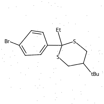 CCC1(c2ccc(Br)cc2)SCC(C(C)(C)C)CS1